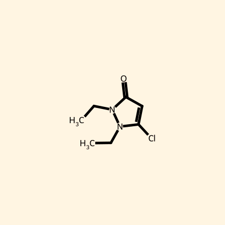 CCn1c(Cl)cc(=O)n1CC